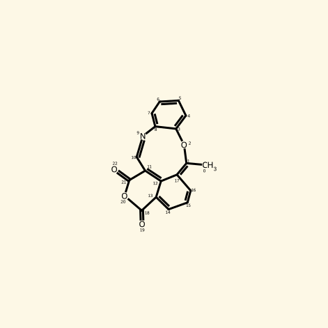 Cc1oc2ccccc2ncc2c3c(cccc13)C(=O)OC2=O